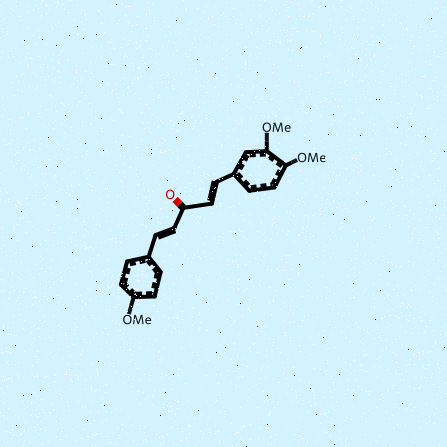 COc1ccc(C=CC(=O)C=Cc2ccc(OC)c(OC)c2)cc1